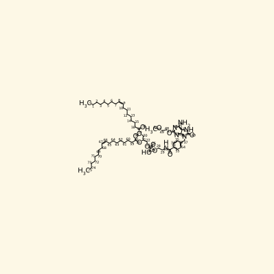 CCCCCCCC/C=C\CCCCCCCC(=O)OCC(COP(=O)(O)OCCNC(=O)c1ccc(Cn2c(=O)[nH]c3c(N)nc(OCCOC)nc32)cc1)OC(=O)CCCCCCC/C=C\CCCCCCCC